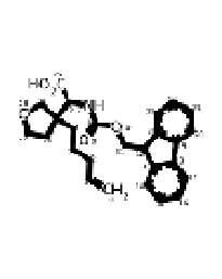 C=CCCCC1([C@H](NC(=O)OCC2c3ccccc3-c3ccccc32)C(=O)O)CCOC1